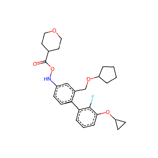 O=C(ONc1ccc(-c2cccc(OC3CC3)c2F)c(COC2CCCC2)c1)C1CCOCC1